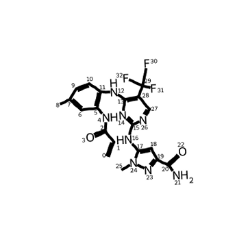 C=CC(=O)Nc1cc(C)ccc1Nc1nc(Nc2cc(C(N)=O)nn2C)ncc1C(F)(F)F